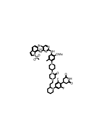 COc1cc(N2CCC(N3CCN(CCC4CCCCN4c4cc(F)c(C5CC(=O)NC(=O)C5)c(F)c4)CC3=O)CC2)c(C)cc1Nc1ncc(Br)c(Nc2cccc3ccn(S(C)(=O)=O)c23)n1